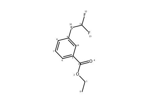 CCOC(=O)c1cccc(SC(F)F)c1